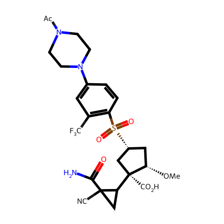 CO[C@H]1C[C@@H](S(=O)(=O)c2ccc(N3CCN(C(C)=O)CC3)cc2C(F)(F)F)C[C@]1(C(=O)O)C1CC1(C#N)C(N)=O